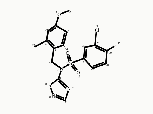 COc1ccc(CN(c2ncns2)S(=O)(=O)c2ccc(F)c(Cl)c2)c(C)c1